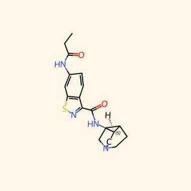 CCC(=O)Nc1ccc2c(C(=O)N[C@@H]3CN4CCC3CC4)nsc2c1